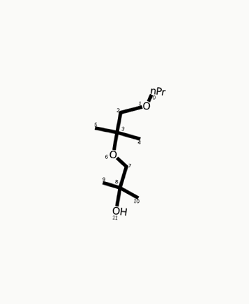 CCCOCC(C)(C)OCC(C)(C)O